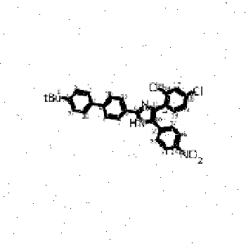 CC(C)(C)c1ccc(-c2ccc(-c3nc(-c4ccc(Cl)cc4Cl)c(-c4ccc([N+](=O)[O-])cc4)[nH]3)cc2)cc1